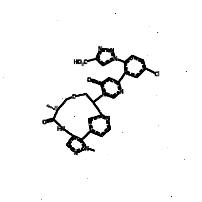 C[C@@H]1CCCC(n2cnc(-c3cc(Cl)ccc3-n3cc(C(=O)O)nn3)cc2=O)c2cc(ccn2)-c2c(cnn2C)NC1=O